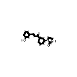 O=C(/C=C/c1cccc(O)c1)c1cccc(-n2cc[nH]c2=O)c1